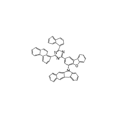 c1ccc2cc3c(cc2c1)c1ccccc1n3-c1cc(-c2nc(-c3cccc4ccccc34)nc(-c3cccc4c3ccc3ccccc34)n2)cc2c1oc1ccccc12